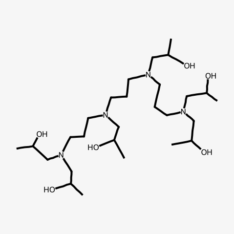 CC(O)CN(CCCN(CCCN(CC(C)O)CC(C)O)CC(C)O)CCCN(CC(C)O)CC(C)O